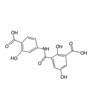 O=C(O)c1ccc(NC(=O)c2cc(O)cc(C(=O)O)c2O)cc1O